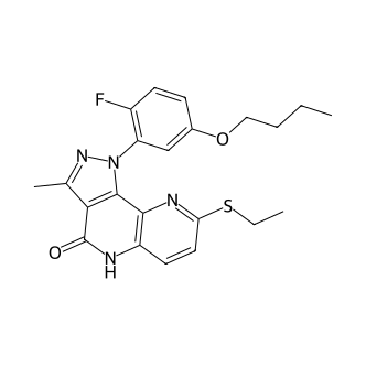 CCCCOc1ccc(F)c(-n2nc(C)c3c(=O)[nH]c4ccc(SCC)nc4c32)c1